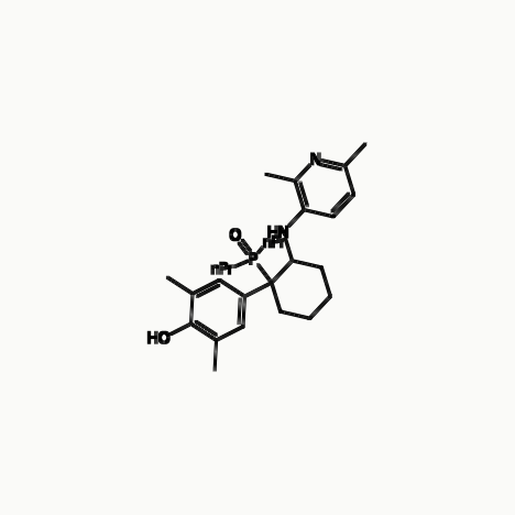 CCCP(=O)(CCC)C1(c2cc(C)c(O)c(C)c2)CCCCC1Nc1ccc(C)nc1C